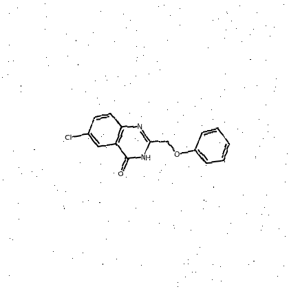 O=c1[nH]c(COc2ccccc2)nc2ccc(Cl)cc12